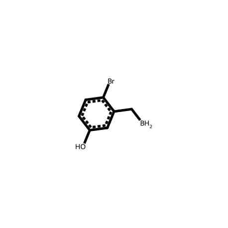 BCc1cc(O)ccc1Br